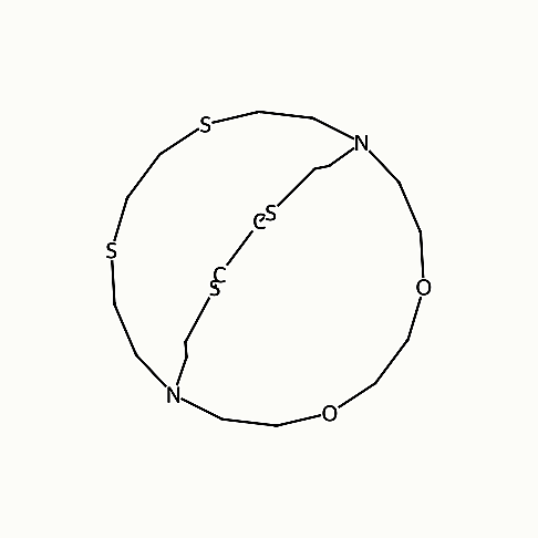 C1COCCN2CCSCCSCCN(CCO1)CCSCCSCC2